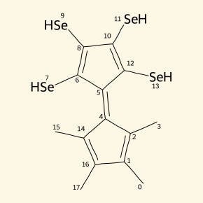 CC1=C(C)C(=C2C([SeH])=C([SeH])C([SeH])=C2[SeH])C(C)=C1C